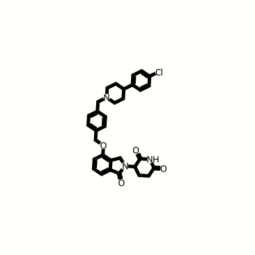 O=C1CCC(N2Cc3c(OCc4ccc(CN5CCC(c6ccc(Cl)cc6)CC5)cc4)cccc3C2=O)C(=O)N1